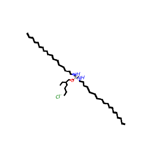 CCCCCCCCCCCCCCCCCC[NH][Ti+]([NH]CCCCCCCCCCCCCCCCCC)[O]CC(CC)CCCC.[Cl-]